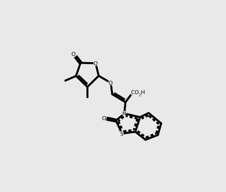 CC1=C(C)C(OC=C(C(=O)O)n2c(=O)sc3ccccc32)OC1=O